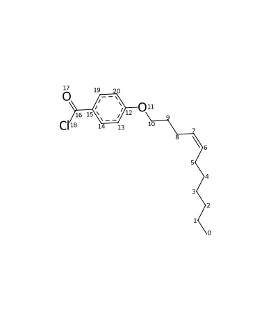 CCCCCC/C=C\CCCOc1ccc(C(=O)Cl)cc1